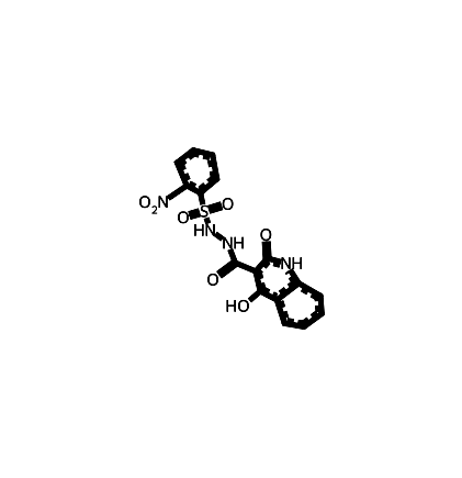 O=C(NNS(=O)(=O)c1ccccc1[N+](=O)[O-])c1c(O)c2ccccc2[nH]c1=O